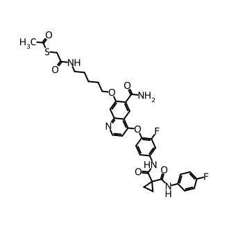 CC(=O)SCC(=O)NCCCCCOc1cc2nccc(Oc3ccc(NC(=O)C4(C(=O)Nc5ccc(F)cc5)CC4)cc3F)c2cc1C(N)=O